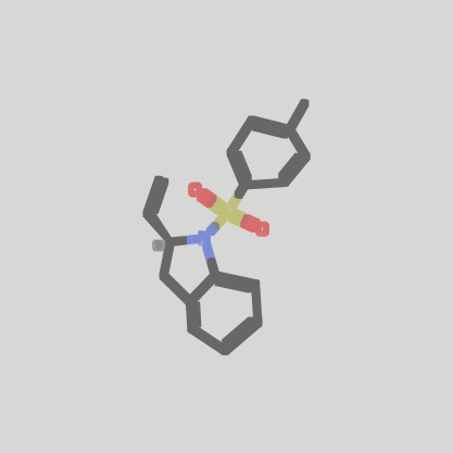 C=C[C@@H]1Cc2ccccc2N1S(=O)(=O)c1ccc(C)cc1